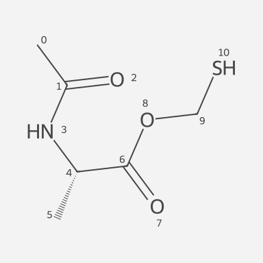 CC(=O)N[C@@H](C)C(=O)OCS